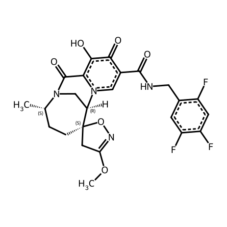 COC1=NO[C@@]2(CC[C@H](C)N3C[C@H]2n2cc(C(=O)NCc4cc(F)c(F)cc4F)c(=O)c(O)c2C3=O)C1